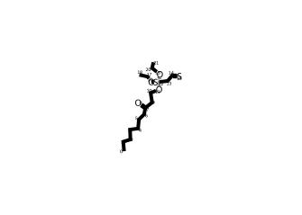 CCCCCCCC(=O)CCO[Si](CC=S)(OCC)OCC